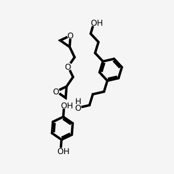 C(OCC1CO1)C1CO1.OCCCc1cccc(CCCO)c1.Oc1ccc(O)cc1